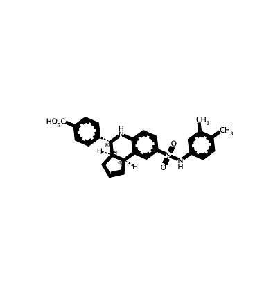 Cc1ccc(NS(=O)(=O)c2ccc3c(c2)[C@H]2C=CC[C@H]2[C@H](c2ccc(C(=O)O)cc2)N3)cc1C